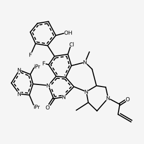 C=CC(=O)N1CC(C)N2c3nc(=O)n(-c4c(C(C)C)ncnc4C(C)C)c4c(F)c(-c5c(O)cccc5F)c(Cl)c(c34)N(C)CC2C1